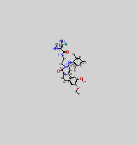 CCOc1cc2c(cc1OC)-c1c/c(=N\c3c(C)cc(C)cc3C)n(CCNC(=O)/C(NN)=C(/N)F)c(=O)n1CC2